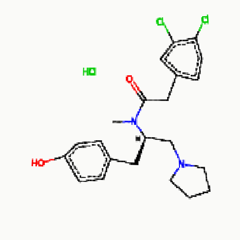 CN(C(=O)Cc1ccc(Cl)c(Cl)c1)[C@H](Cc1ccc(O)cc1)CN1CCCC1.Cl